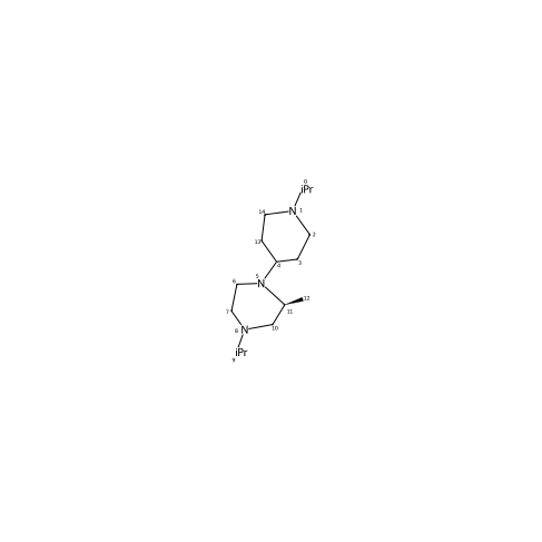 CC(C)N1CCC(N2CCN(C(C)C)C[C@@H]2C)CC1